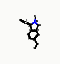 C=C=C1c2ccc(CC)cc2CN1C